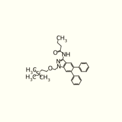 CCCC(=O)Nc1nn(COCC[Si](C)(C)C)c2cc(-c3ccccc3)c(-c3ccccc3)cc12